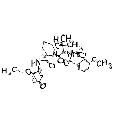 CCO[C@@H]1OC(=O)C[C@@H]1NC(=O)[C@@H]1CCCN1C(=O)[C@@H](NC(=O)c1cccc(OC)c1Cl)C(C)(C)C